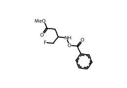 COC(=O)CC(CF)NOC(=O)c1ccccc1